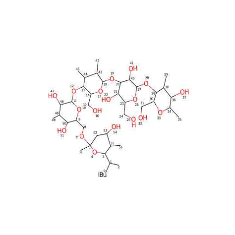 CCC(C)C(C)C1OC(C)(OCC2OC(OC3C(CO)OC(OC4C(O)C(CO)OC(OC5C(CO)OC(C)C(O)C5C)C4O)C(C)C3C)C(O)C(C)C2O)CC(O)C1C